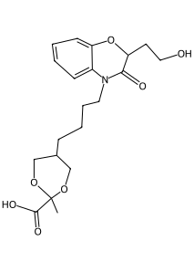 CC1(C(=O)O)OCC(CCCCN2C(=O)C(CCO)Oc3ccccc32)CO1